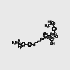 CC1=C(c2ccc(CNC(=O)[C@@H]3C[C@@H](O)CN3C(=O)[C@@H](NC(=O)COCCCCOc3ccc(-c4ccc(NC(N)=S)c(F)c4)cc3)C(C)(C)C)cc2)OCN1